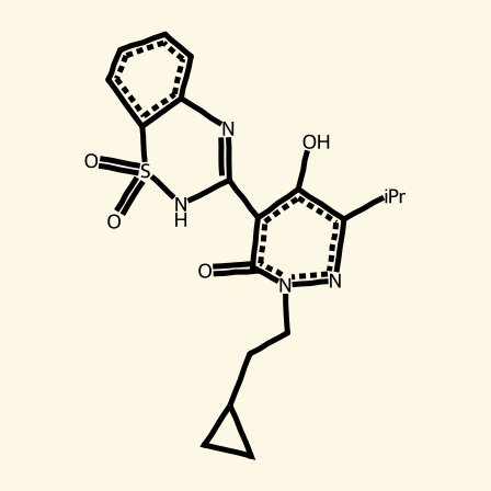 CC(C)c1nn(CCC2CC2)c(=O)c(C2=Nc3ccccc3S(=O)(=O)N2)c1O